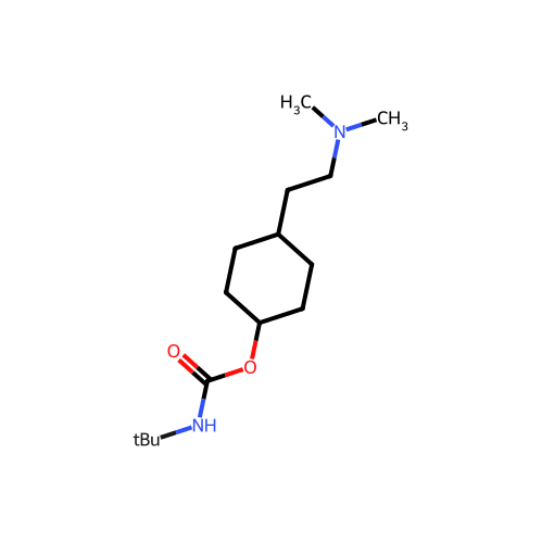 CN(C)CCC1CCC(OC(=O)NC(C)(C)C)CC1